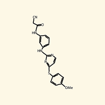 COc1ccc(Sc2ccnc(Nc3cccc(NC(=O)CC#N)c3)n2)cc1